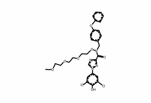 COCCOCCOCCON(Cc1ccc(Oc2ccccc2)cc1)C(=O)c1ncn(-c2cc(Cl)c(O)c(Cl)c2)n1